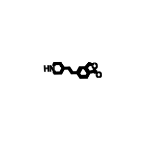 O=C1OCc2cc(CCC3CCNCC3)ccc21